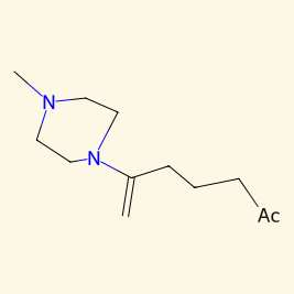 C=C(CCCC(C)=O)N1CCN(C)CC1